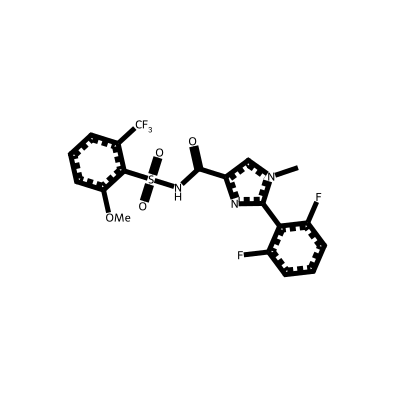 COc1cccc(C(F)(F)F)c1S(=O)(=O)NC(=O)c1cn(C)c(-c2c(F)cccc2F)n1